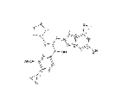 COc1cc(C(O)C(Cn2cc3cc(C#N)cc(C(=O)O)c3n2)OC2CCCC2)ccc1C1CC1